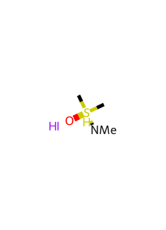 CN[SH](C)(C)=O.I